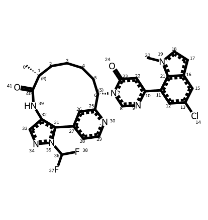 C[C@@H]1CCCC[C@H](n2cnc(-c3cc(Cl)cc4ccn(C)c34)cc2=O)c2cc(ccn2)-c2c(cnn2C(F)F)NC1=O